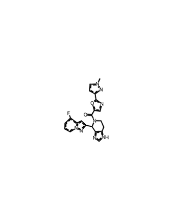 Cn1ccc(-c2ncc(C(=O)N3CCc4[nH]cnc4C3c3cc4c(F)cccn4n3)o2)n1